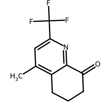 Cc1cc(C(F)(F)F)nc2c1CCCC2=O